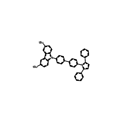 CC(C)(C)c1ccc2c(c1)c1cc(C(C)(C)C)ccc1n2-c1ccc(-c2ccc(-n3c(-c4ccccc4)ccc3-c3ccccc3)cc2)cc1